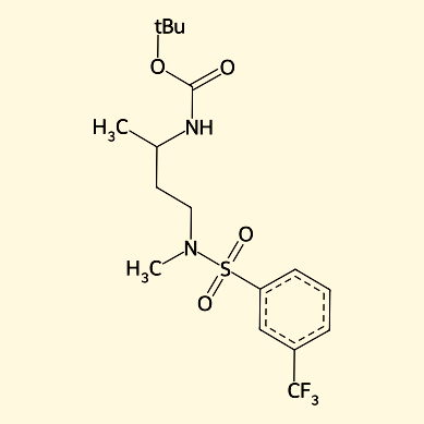 CC(CCN(C)S(=O)(=O)c1cccc(C(F)(F)F)c1)NC(=O)OC(C)(C)C